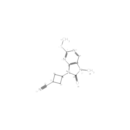 CSc1ncc2c(n1)n(C1CC(C#N)C1)c(=O)n2C